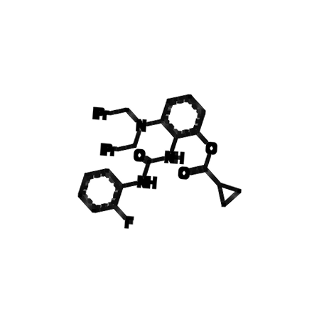 CC(C)CN(CC(C)C)c1cccc(OC(=O)C2CC2)c1NC(=O)Nc1ccccc1F